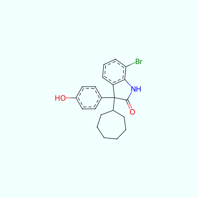 O=C1Nc2c(Br)cccc2C1(c1ccc(O)cc1)C1CCCCCC1